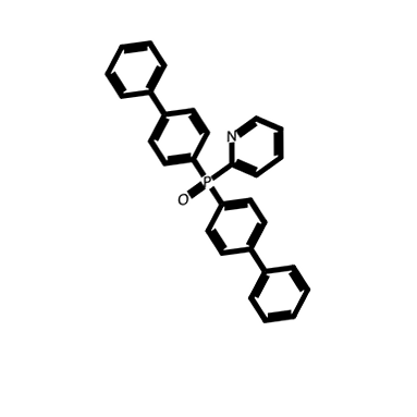 O=P(c1ccc(-c2ccccc2)cc1)(c1ccc(-c2ccccc2)cc1)c1ccccn1